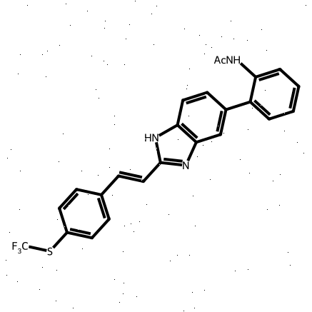 CC(=O)Nc1ccccc1-c1ccc2[nH]c(C=Cc3ccc(SC(F)(F)F)cc3)nc2c1